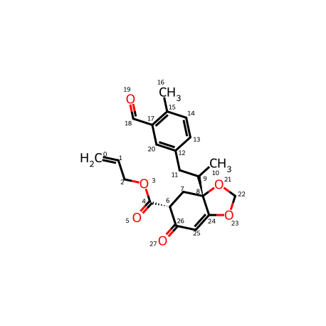 C=CCOC(=O)[C@@H]1C[C@]2(C(C)Cc3ccc(C)c(C=O)c3)OCOC2=CC1=O